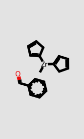 O=Cc1ccccc1.[CH3][Zr]([C]1=CC=CC1)[C]1=CC=CC1